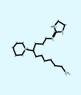 CCCCCCCC(CCCN=C1NCCS1)N1CCCCC1